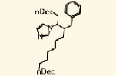 CCCCCCCCCCCCCCCCC(Cc1ccccc1)C(CCCCCCCCCCC)n1ccnc1